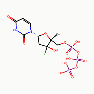 CC(C)[C@]1(COP(=O)(O)OP(=O)(O)OP(=O)(O)O)O[C@@H](n2ccc(=O)[nH]c2=O)C[C@@]1(O)F